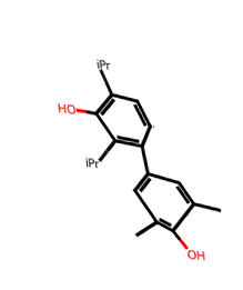 Cc1cc(-c2[c]cc(C(C)C)c(O)c2C(C)C)cc(C)c1O